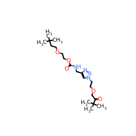 CC(C)(C)CCOCCOC(=O)NCc1cn(CCOCC(=O)C(C)(C)C)nn1